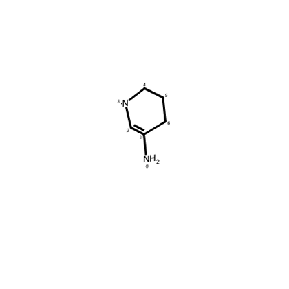 NC1=C[N]CCC1